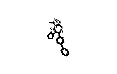 Cc1nnc2n1-c1sc3c(c1C(c1ccc(-c4ccccc4)cc1)=NC2)CCC3